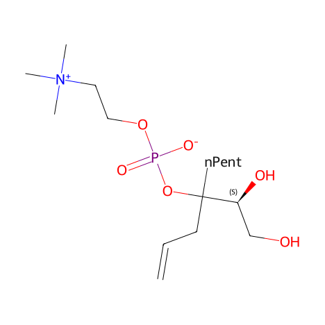 C=CCC(CCCCC)(OP(=O)([O-])OCC[N+](C)(C)C)[C@@H](O)CO